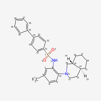 O=S(=O)(Nc1cc(C(F)(F)F)ccc1N1CC[C@@H]2CCCC[C@H]2C1)c1ccc(-c2ccccc2)cc1